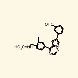 Cc1cc(-c2ncnn3cc(-c4cccc(C=O)c4)cc23)ccc1CNC(=O)O